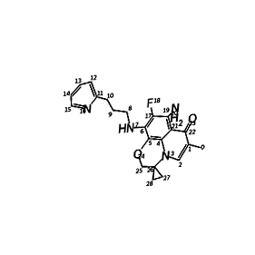 Cc1cn2c3c(c(NCCCc4ccccn4)c(F)c(N)c3c1=O)OCC21CC1